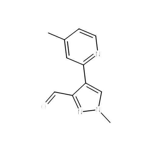 Cc1ccnc(-c2cn(C)nc2C=O)c1